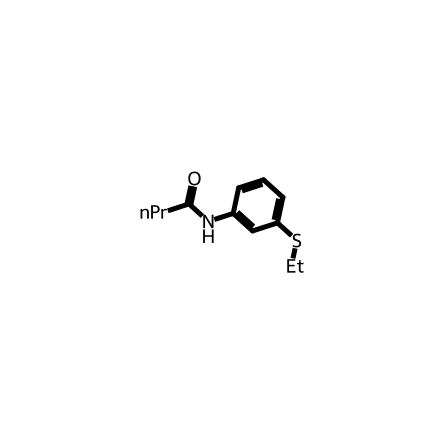 CCCC(=O)Nc1cccc(SCC)c1